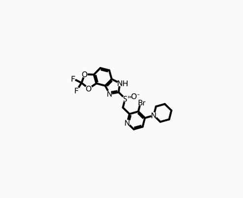 [O-][S+](Cc1nccc(N2CCCCC2)c1Br)c1nc2c3c(ccc2[nH]1)OC(F)(F)O3